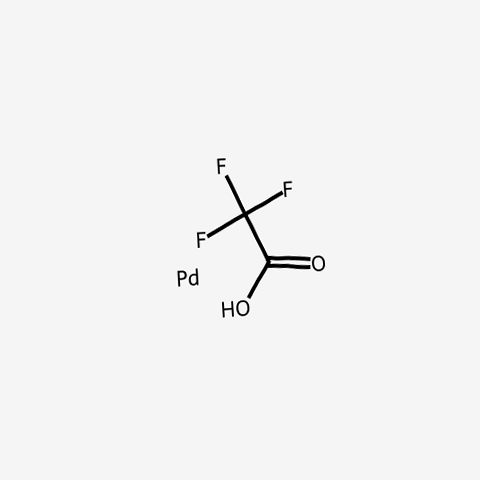 O=C(O)C(F)(F)F.[Pd]